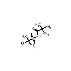 CC(C)(N)C(=O)NS(=O)(=O)C(C)(C)C